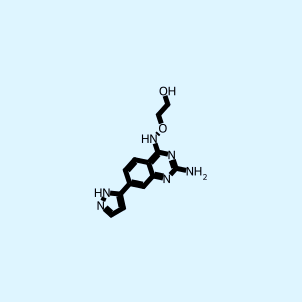 Nc1nc(NOCCO)c2ccc(-c3ccn[nH]3)cc2n1